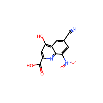 N#Cc1cc([N+](=O)[O-])c2nc(C(=O)O)cc(O)c2c1